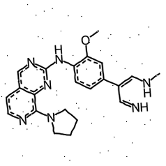 CN/C=C(\C=N)c1ccc(Nc2ncc3ccnc(N4CCCC4)c3n2)c(OC)c1